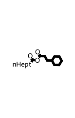 CCCCCCCC(=O)OC(=O)CCC1CCCCC1